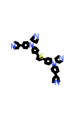 c1cc(-c2ccc(N(c3ccncc3)c3ccc(-c4ccc(-c5ccc(N(c6ccncc6)c6ccc(-c7ccncc7)cc6)cc5)s4)cc3)cc2)ccn1